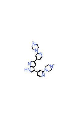 CN1CCN(c2cc(-c3cnc4[nH]cc(-c5ccnc(N6CCN(C)CC6)c5)c4c3)ccn2)CC1